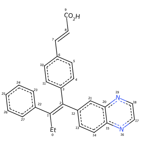 CC/C(=C(/c1ccc(/C=C/C(=O)O)cc1)c1ccc2nccnc2c1)c1ccccc1